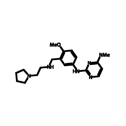 CNc1ccnc(Nc2ccc(OC)c(CNCCN3CCCC3)c2)n1